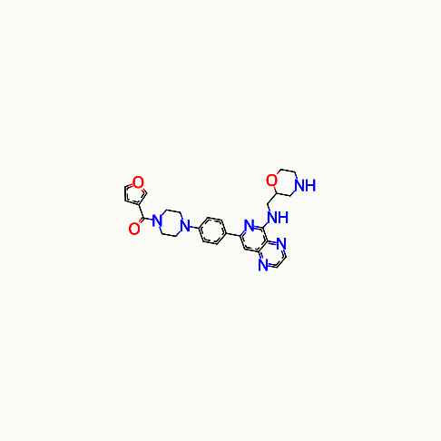 O=C(c1ccoc1)N1CCN(c2ccc(-c3cc4nccnc4c(NCC4CNCCO4)n3)cc2)CC1